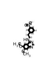 COc1cc2ncnc(NCCc3cccc([N+](=O)[O-])c3)c2cc1OC